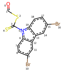 O=CSC(=S)n1c2ccc(Br)cc2c2cc(Br)ccc21